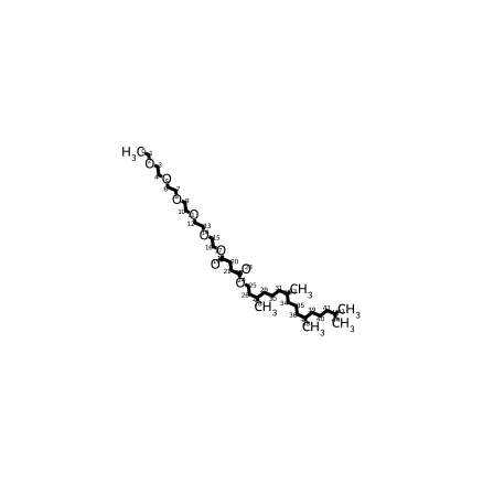 CCOCCOCCOCCOCCOCCOC(=O)CCC(=O)OCCC(C)CCCC(C)CCCC(C)CCCC(C)C